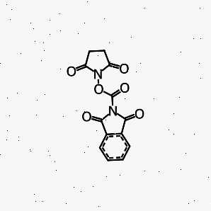 O=C1CCC(=O)N1OC(=O)N1C(=O)c2ccccc2C1=O